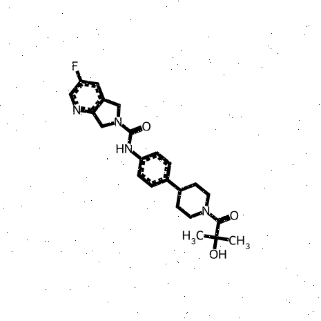 CC(C)(O)C(=O)N1CCC(c2ccc(NC(=O)N3Cc4cc(F)cnc4C3)cc2)CC1